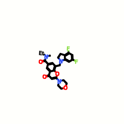 CCN(C)C(=O)c1cc(CN2CCc3c(F)cc(F)cc32)c2oc(N3CCOCC3)cc(=O)c2c1